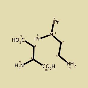 CC(C)N(CCN)C(C)C.NC(CC(=O)O)C(=O)O